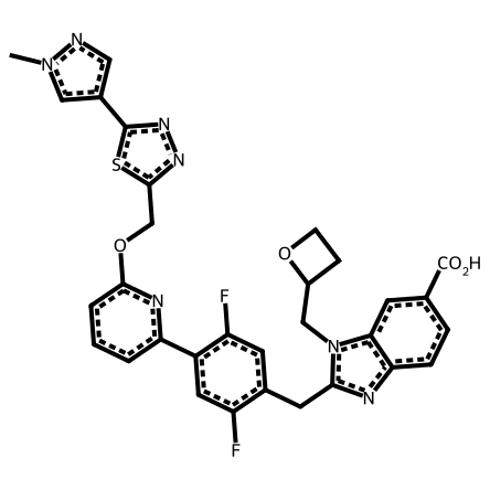 Cn1cc(-c2nnc(COc3cccc(-c4cc(F)c(Cc5nc6ccc(C(=O)O)cc6n5CC5CCO5)cc4F)n3)s2)cn1